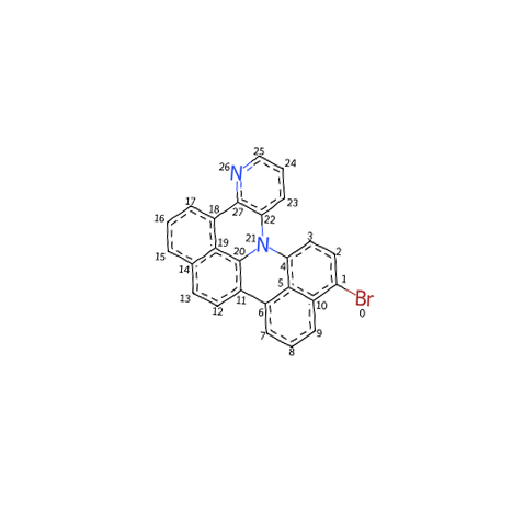 Brc1ccc2c3c(cccc13)-c1ccc3cccc4c3c1N2c1cccnc1-4